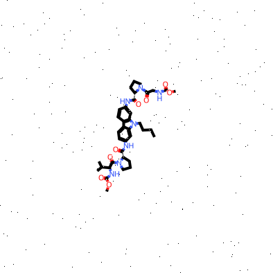 CCCCn1c2cc(NC(=O)[C@@H]3CCCN3C(=O)CNC(=O)OC)ccc2c2ccc(NC(=O)[C@@H]3CCCN3C(=O)C(NC(=O)OC)C(C)C)cc21